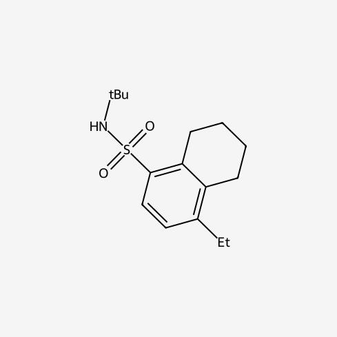 CCc1ccc(S(=O)(=O)NC(C)(C)C)c2c1CCCC2